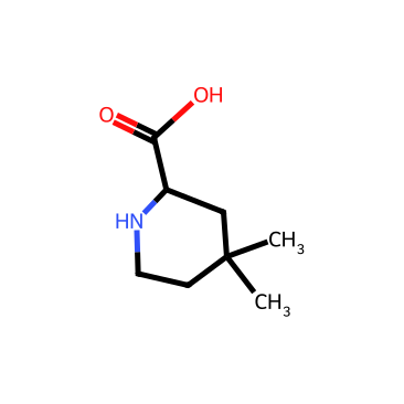 CC1(C)CCNC(C(=O)O)C1